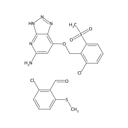 CS(=O)(=O)c1cccc(Cl)c1COc1cc(N)nc2[nH]nnc12.CSc1cccc(Cl)c1C=O